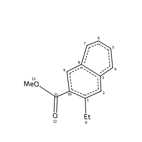 CCc1cc2ccccc2cc1C(=O)OC